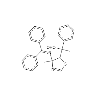 CC1(N=C(c2ccccc2)c2ccccc2)N=CSC1C(C)(C=O)c1ccccc1